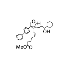 COC(=O)CCC/C=C\C[C@H]1[C@H](/C=C/[C@H](O)C2CCCCC2)[C@@H]2C[C@@]1(c1ccc(-c3ccccc3)cc1)CO2